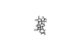 CCCC(NC(C)=O)(C(=O)O)C(=O)NC1(C(=O)O)C(=O)N2CC(C)=CS[C@H]21